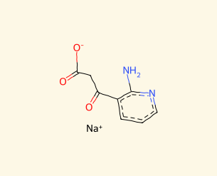 Nc1ncccc1C(=O)CC(=O)[O-].[Na+]